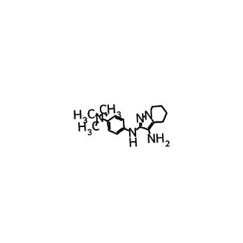 C[N+](C)(C)c1ccc(Nc2nn3c(c2N)CCCC3)cc1